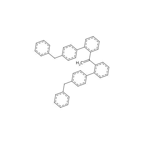 C=C(c1ccccc1-c1ccc(Cc2ccccc2)cc1)c1ccccc1-c1ccc(Cc2ccccc2)cc1